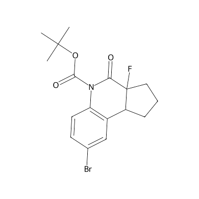 CC(C)(C)OC(=O)N1C(=O)C2(F)CCCC2c2cc(Br)ccc21